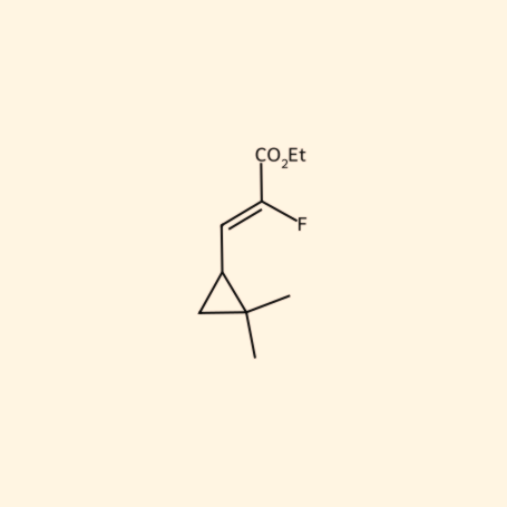 CCOC(=O)C(F)=CC1CC1(C)C